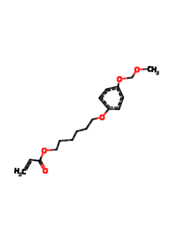 C=CC(=O)OCCCCCCOc1ccc(OCOC)cc1